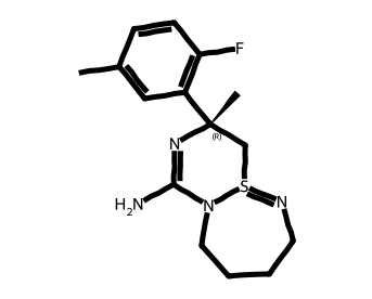 Cc1ccc(F)c([C@]2(C)CS3=NCCCCN3C(N)=N2)c1